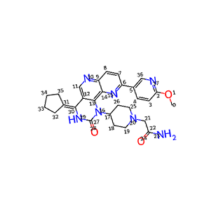 COc1ccc(-c2ccc3ncc4c(c3n2)N(C2CCN(CC(N)=O)CC2)C(=O)NC4=C2CCCC2)cn1